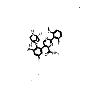 COc1cccc(F)c1-c1ncc(-c2cc(F)cc(Br)c2N2C[C@H]3C[C@@H]2CN3)c(C(N)=O)n1